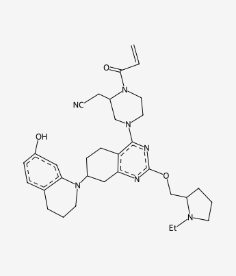 C=CC(=O)N1CCN(c2nc(OCC3CCCN3CC)nc3c2CCC(N2CCCc4ccc(O)cc42)C3)CC1CC#N